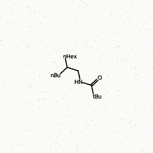 CCCCCCC(CCCC)CNC(=O)C(C)(C)C